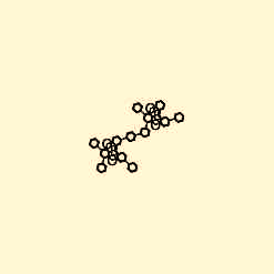 c1ccc(-c2ccc3c(c2)Oc2c(-c4ccccc4)cc(-c4ccccc4)c4c2B3c2cc(-c3ccc(-c5cccc(-c6cc(-c7ccccc7)c7c8c6Oc6ccc(-c9ccccc9)cc6B8c6ccccc6O7)c5)cc3)ccc2O4)cc1